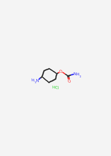 Cl.NC(=O)OC1CCC(N)CC1